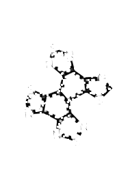 c1nc2c3nsnc3c3c4scnc4c4nsnc4c3c2s1